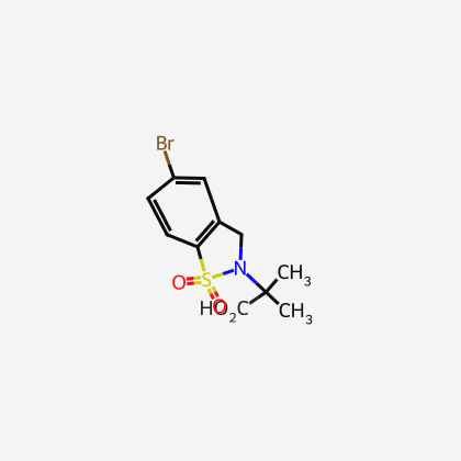 CC(C)(C(=O)O)N1Cc2cc(Br)ccc2S1(=O)=O